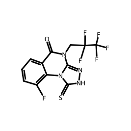 O=c1c2cccc(F)c2n2c(=S)[nH]nc2n1CC(F)(F)C(F)(F)F